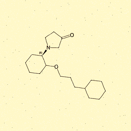 O=C1CCN([C@@H]2CCCCC2OCCCC2CCCCC2)C1